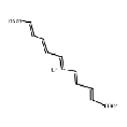 CCCCCCCCCC=CC=CC=CC=CC=CC(=O)[O-].[Li+]